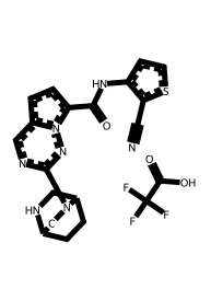 N#Cc1sccc1NC(=O)c1ccc2cnc(N3CC4CCC3CN4)nn12.O=C(O)C(F)(F)F